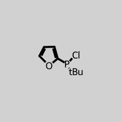 CC(C)(C)P(Cl)c1ccco1